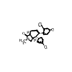 CN1C[C@H]2[C@@H](c3ccc(Cl)cc3)[C@H](c3ccc(Cl)cc3Cl)CC[C@H]2C1=O